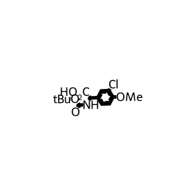 COc1ccc(C(NC(=O)OC(C)(C)C)C(=O)O)cc1Cl